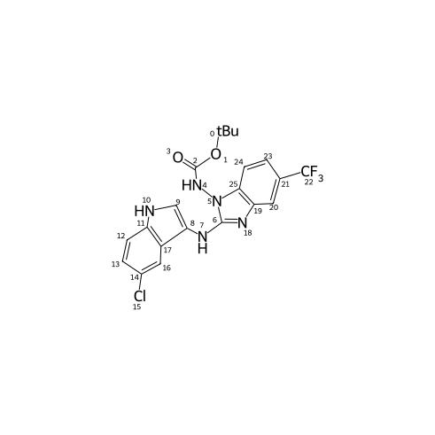 CC(C)(C)OC(=O)Nn1c(Nc2c[nH]c3ccc(Cl)cc23)nc2cc(C(F)(F)F)ccc21